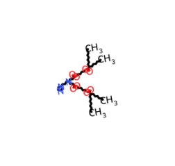 CCCCCCCCC(CCCCCC)C(=O)OCCCCOC(=O)CCN(CCCn1ccnc1)CCC(=O)OCCCCOC(=O)C(CCCCCC)CCCCCCCC